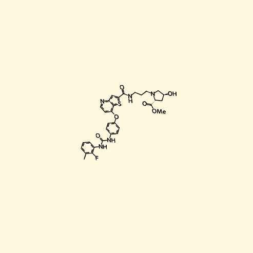 COC(=O)[C@H]1C[C@H](O)CN1CCCNC(=O)c1cc2nccc(Oc3ccc(NC(=O)Nc4cccc(C)c4F)cc3)c2s1